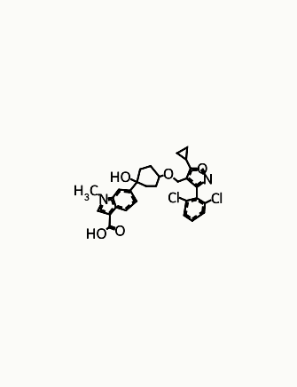 Cn1cc(C(=O)O)c2ccc(C3(O)CCC(OCc4c(-c5c(Cl)cccc5Cl)noc4C4CC4)CC3)cc21